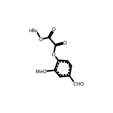 CCCCOC(=O)C(=O)Oc1ccc(C=O)cc1OC